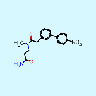 CN(CCC(N)=O)C(=O)Cc1cccc(-c2ccc([N+](=O)[O-])cc2)c1